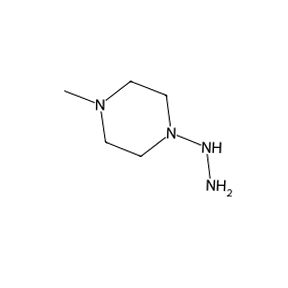 CN1CCN(NN)CC1